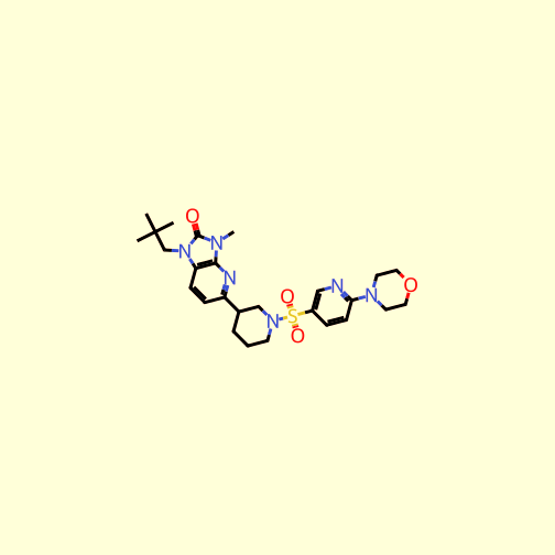 Cn1c(=O)n(CC(C)(C)C)c2ccc(C3CCCN(S(=O)(=O)c4ccc(N5CCOCC5)nc4)C3)nc21